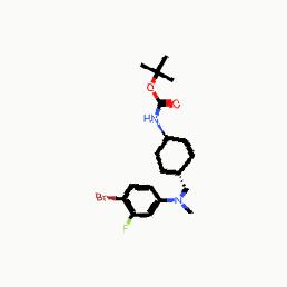 CN(C[C@H]1CC[C@H](NC(=O)OC(C)(C)C)CC1)c1ccc(Br)c(F)c1